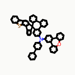 c1ccc(-c2ccc(N(c3ccc4c(c3)-c3ccccc3Oc3ccccc3-4)c3ccc4c(c3)-c3ccccc3-c3ccccc3C43c4ccccc4-c4c3ccc3c4sc4ccccc43)cc2)cc1